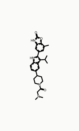 Cc1cc(-c2[nH]c3ccc(C4CCN(C(=O)CN(C)C)CC4)cc3c2C(C)C)cc2[nH]c(=O)oc12